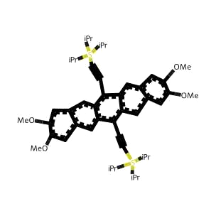 COc1cc2cc3c(C#CS(C(C)C)(C(C)C)C(C)C)c4cc5cc(OC)c(OC)cc5cc4c(C#CS(C(C)C)(C(C)C)C(C)C)c3cc2cc1OC